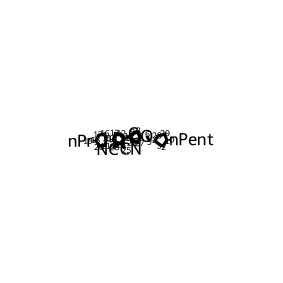 CCCCC[C@H]1CC[C@H](COc2ccc(-c3ccc([C@H]4CC[C@H](CCC)CC4)c(C#N)c3C#N)cc2)CC1